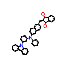 O=C1C(=Cc2ccc3cc(N(c4ccccc4)c4cccc(-n5c6ccccc6c6ccccc65)c4)ccc3c2)C(=O)c2ccccc21